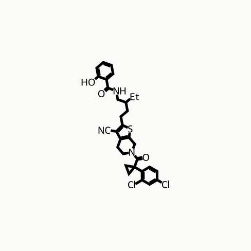 CCC(CCc1sc2c(c1C#N)CCN(C(=O)C1(c3ccc(Cl)cc3Cl)CC1)C2)CNC(=O)c1ccccc1O